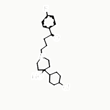 O=C(CCCN1CCC(O)(C2CCC(Cl)CC2)CC1)c1ccc(F)cc1